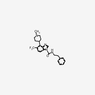 CN1CCC(c2c(C(F)(F)F)ccc3c2ncn3C(=O)NCCc2ccccc2)CC1